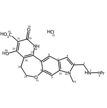 CCCNCc1cc2cc3c(cc2n1C)OCCc1c-3[nH]c(=O)c(C(=O)O)c1O.Cl